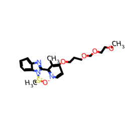 COCCOCOCCCOc1ccnc(-c2nc3ccccc3n2[S+](C)[O-])c1C